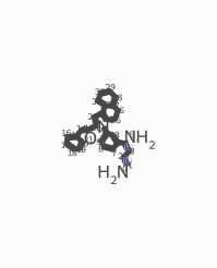 N/C=C/C=C(/N)c1cccc(-n2c(-c3cc4ccccc4o3)cc3c2CCc2ccccc2-3)c1